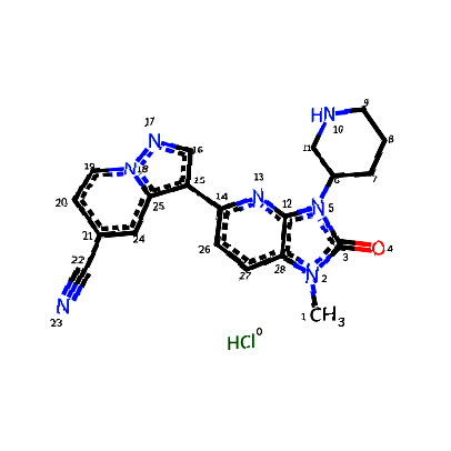 Cl.Cn1c(=O)n(C2CCCNC2)c2nc(-c3cnn4ccc(C#N)cc34)ccc21